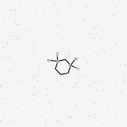 CC[Si]1(Cl)CCC[Si](Cl)(CC)C1